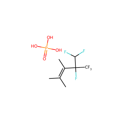 CC(C)=C(C)C(F)(C(F)F)C(F)(F)F.O=P(O)(O)O